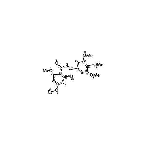 CCOc1cc(OC)c2c(=O)cc(-c3cc(OC)c(OC)c(OC)c3)oc2c1